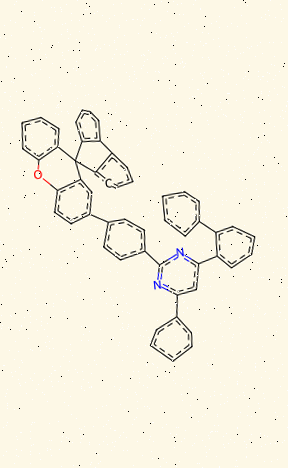 c1ccc(-c2cc(-c3ccccc3-c3ccccc3)nc(-c3ccc(-c4ccc5c(c4)C4(c6ccccc6O5)c5ccccc5-c5ccccc54)cc3)n2)cc1